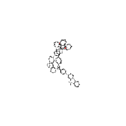 CC1(C)c2ccccc2-c2ccc(-c3ccc(N(c4ccc(-c5ccc6c(c5)oc5ccccc56)cc4)c4cccc5oc6ccc(-c7ccc8c(c7)c7ccccc7n8-c7ccccc7)cc6c45)cc3)cc21